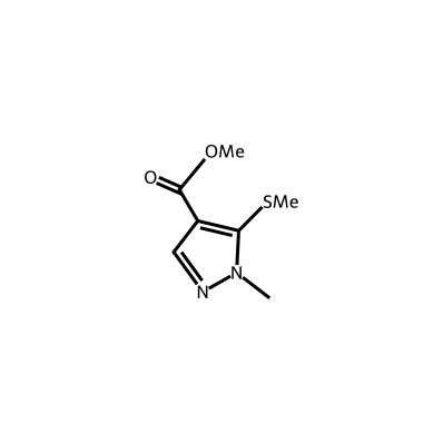 COC(=O)c1cnn(C)c1SC